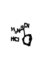 Cl.N#C[C@@H](N)c1ccccc1